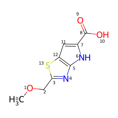 COCc1nc2[nH]c(C(=O)O)cc2s1